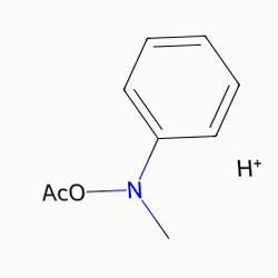 CC(=O)ON(C)c1ccccc1.[H+]